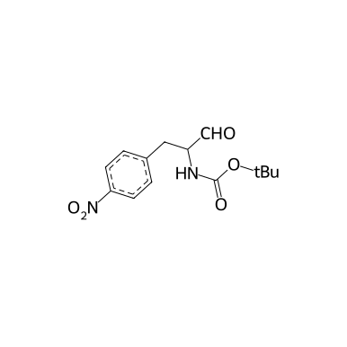 CC(C)(C)OC(=O)NC(C=O)Cc1ccc([N+](=O)[O-])cc1